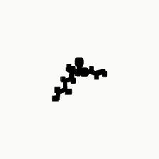 C=CCOC(=O)C(C)=CCCCC